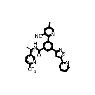 Cc1cnc(-c2cc(C(=O)N[C@H](C)c3ccc(C(F)(F)F)nc3)cc(C3=NOC(c4ccccn4)C3)c2)c(C#N)c1